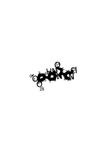 COc1ccc(-c2ccc3c(c2)NC(=O)CC(c2ccnc(Cl)c2)=N3)cc1OC